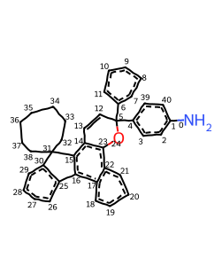 Nc1ccc(C2(c3ccccc3)C=Cc3c4c(c5ccccc5c3O2)-c2ccccc2C42CCCCCCC2)cc1